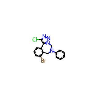 Clc1nnn2c1-c1cccc(Br)c1CN(c1ccccc1)C2